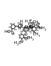 COc1ccc(CN(C(=O)C(Cc2c(C)cc(C(N)=O)cc2C)NC(=O)OC(C)(C)C)C(C)c2nc(-c3cccc(C(=O)O)c3)c[nH]2)cc1OC